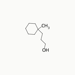 CC1(CCCO)CCCCC1